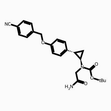 CC(C)(C)OC(=O)N(CC(N)=O)[C@@H]1C[C@H]1c1ccc(OCc2ccc(C#N)cc2)cc1